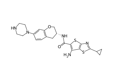 Nc1c(C(=O)N[C@H]2COc3cc(N4CCNCC4)ccc3C2)sc2nc(C3CC3)sc12